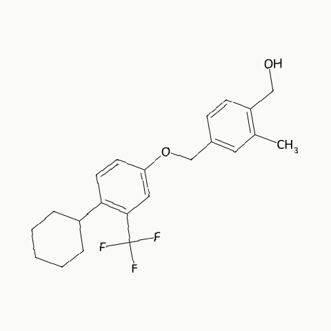 Cc1cc(COc2ccc(C3CCCCC3)c(C(F)(F)F)c2)ccc1CO